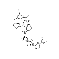 COC(=O)c1cccc(NC(=O)NCC(=O)N(CCC2CCCC2)c2ccccc2OCC(=O)N(C)c2cc(C)cc(C)c2)c1